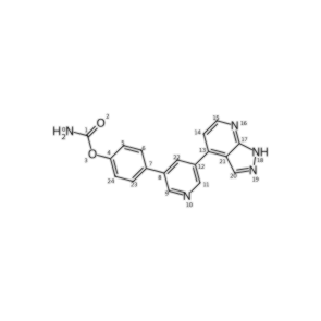 NC(=O)Oc1ccc(-c2cncc(-c3ccnc4[nH]ncc34)c2)cc1